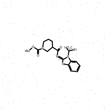 CCC(C(=O)O)n1/c(=N\C(=O)C2CCCN(C(=O)OC(C)(C)C)C2)sc2ccccc21